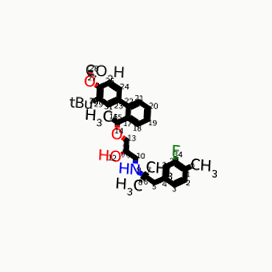 Cc1ccc(CC(C)(C)NC[C@@H](O)COC(C)c2ccccc2-c2ccc(OC(=O)O)c(C(C)(C)C)c2)cc1F